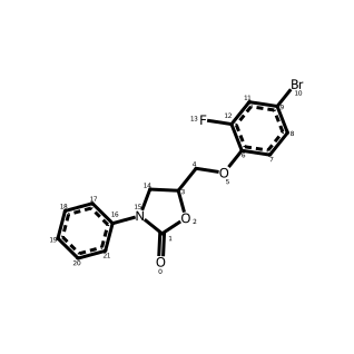 O=C1OC(COc2ccc(Br)cc2F)CN1c1ccccc1